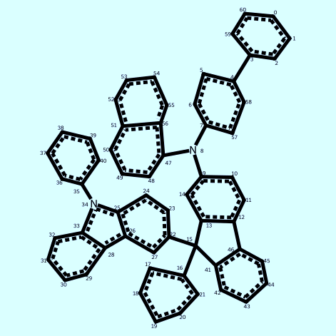 c1ccc(-c2ccc(N(c3ccc4c(c3)C(c3ccccc3)(c3ccc5c(c3)c3ccccc3n5-c3ccccc3)c3ccccc3-4)c3cccc4ccccc34)cc2)cc1